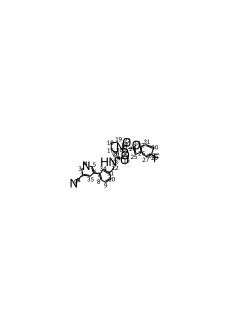 N#Cc1cncc(-c2cccc(CNC(=O)[C@@H]3CCCN3S(=O)(=O)c3cc4cc(F)ccc4o3)c2)c1